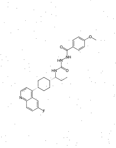 CCC(NC(=O)NNC(=O)c1ccc(OC)cc1)[C@H]1CC[C@@H](c2ccnc3ccc(F)cc32)CC1